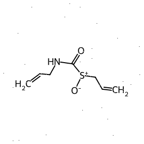 C=CCNC(=O)[S+]([O-])CC=C